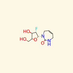 O=C1NCC=CCN1[C@@H]1OC(CO)[C@@H](O)[C@@H]1F